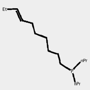 CC/C=C/CCCCCCP(CCC)CCC